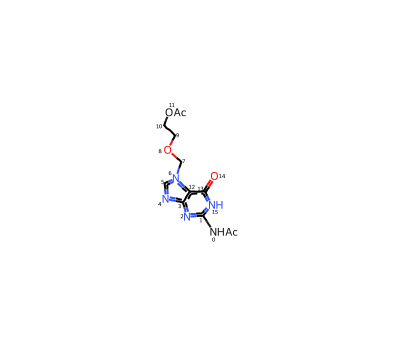 CC(=O)Nc1nc2ncn(COCCOC(C)=O)c2c(=O)[nH]1